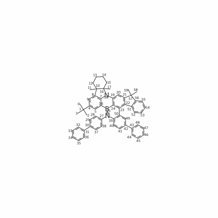 CC(C)(C)c1cc2c3c(c1)C1(C)CCCCC1(C)N3c1cc3c(c4c1B2N(c1ccc(-c2ccccc2)cc1)c1ccc(-c2ccccc2)cc1-4)-c1ccccc1C3(C)C